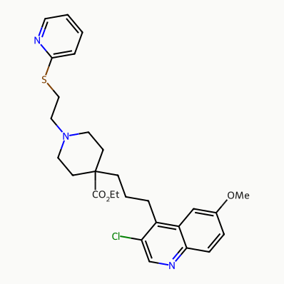 CCOC(=O)C1(CCCc2c(Cl)cnc3ccc(OC)cc23)CCN(CCSc2ccccn2)CC1